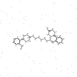 COc1ccccc1N1CCN(CCCCCCCOc2ccccc2N2CCN(C)CC2)CC1